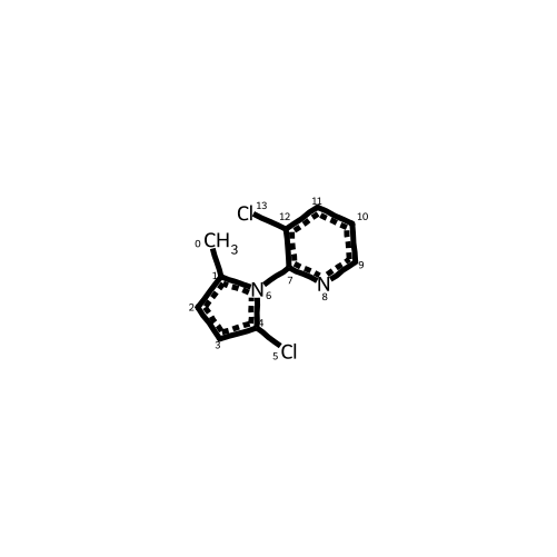 Cc1ccc(Cl)n1-c1ncccc1Cl